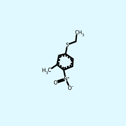 CCSc1ccc([N+](=O)[O-])c(C)c1